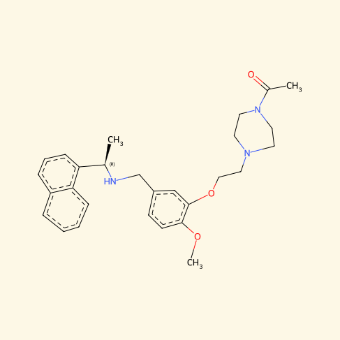 COc1ccc(CN[C@H](C)c2cccc3ccccc23)cc1OCCN1CCN(C(C)=O)CC1